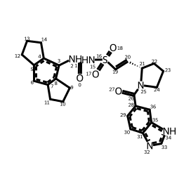 O=C(Nc1c2c(cc3c1CCC3)CCC2)NS(=O)(=O)/C=C/[C@@H]1CCCN1C(=O)c1ccc2nc[nH]c2c1